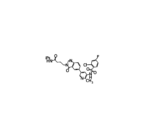 Cc1ncc(-c2ccc3ncn(CCCC(=O)NC(C)C)c(=O)c3c2)cc1NS(=O)(=O)c1ccc(F)cc1Cl